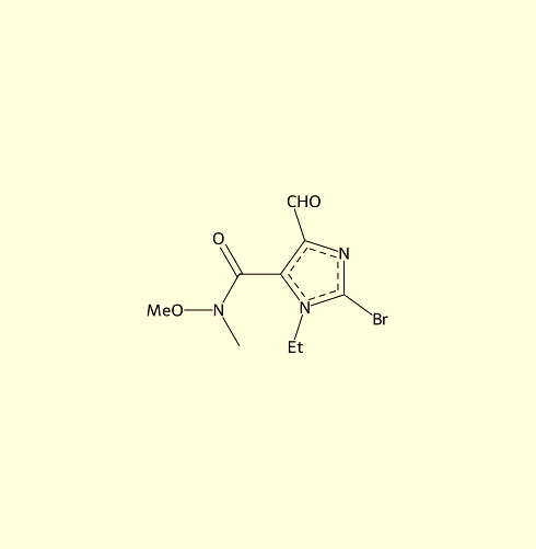 CCn1c(Br)nc(C=O)c1C(=O)N(C)OC